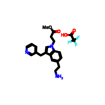 COC(=O)CCn1cc(Cc2cccnc2)c2cc(CCN)ccc21.O=C(O)C(F)(F)F